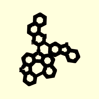 c1ccc2c(c1)ccc1nc(-n3c4ccc5cccc6c5c4c4c5c(ccc43)sc3cccc-6c35)c(-c3ccc4c(c3)sc3ccccc34)nc12